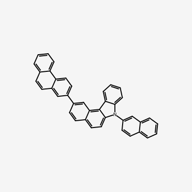 c1ccc2cc(-n3c4ccccc4c4c5cc(-c6ccc7c(ccc8ccccc87)c6)ccc5ccc43)ccc2c1